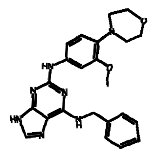 COc1cc(Nc2nc(NCc3ccccc3)c3nc[nH]c3n2)ccc1N1CCOCC1